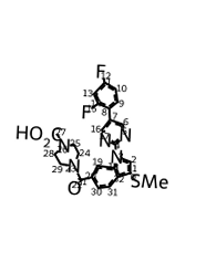 CSc1cn(-c2ncc(-c3ccc(F)cc3F)cn2)c2cc(C(=O)N3CCN(C(=O)O)CC3)ccc12